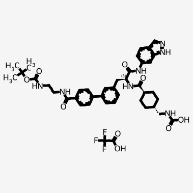 CC(C)(C)OC(=O)NCCNC(=O)c1ccc(-c2cccc(C[C@H](NC(=O)[C@H]3CC[C@H](CNC(=O)O)CC3)C(=O)Nc3ccc4cn[nH]c4c3)c2)cc1.O=C(O)C(F)(F)F